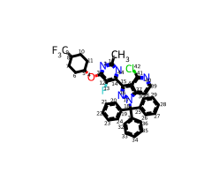 Cc1nc(OC2CCC(C(F)(F)F)CC2)c(F)c(-c2nn(C(c3ccccc3)(c3ccccc3)c3ccccc3)c3ccnc(Cl)c23)n1